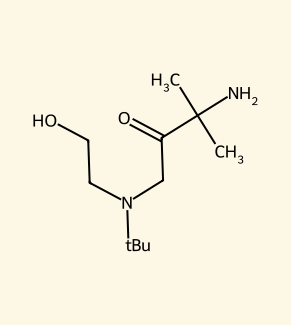 CC(C)(N)C(=O)CN(CCO)C(C)(C)C